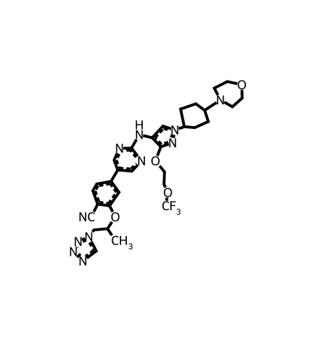 CC(Cn1cnnn1)Oc1cc(-c2cnc(Nc3cn(C4CCC(N5CCOCC5)CC4)nc3OCCOC(F)(F)F)nc2)ccc1C#N